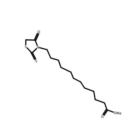 COC(=O)CCCCCCCCCCCN1C(=O)CSC1=S